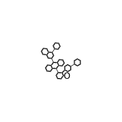 c1ccc(-c2ccc3c(c2)oc2cccc(-c4c5ccccc5c(-c5cc(-c6ccccc6)c6ccccc6c5)c5ccccc45)c23)cc1